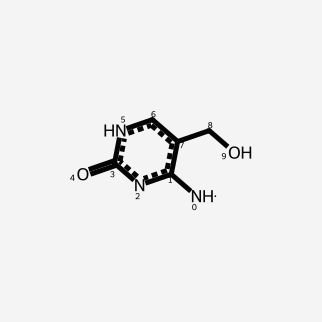 [NH]c1nc(=O)[nH]cc1CO